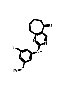 CC(C)Oc1cc(C#N)cc(Nc2ncc3c(n2)CCCCC3=O)c1